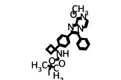 COc1nccn2c(-c3ccccc3)c(-c3ccc(C4(NC(=O)OC(C)(C)I)CCC4)cc3)nc12